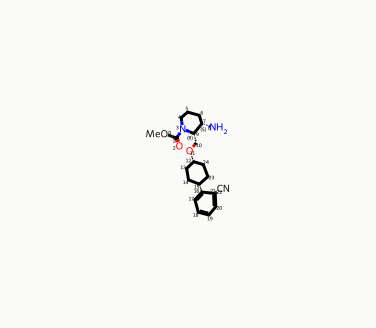 COC(=O)N1CCC[C@H](N)[C@@H]1CO[C@H]1CC[C@@H](c2ccccc2C#N)CC1